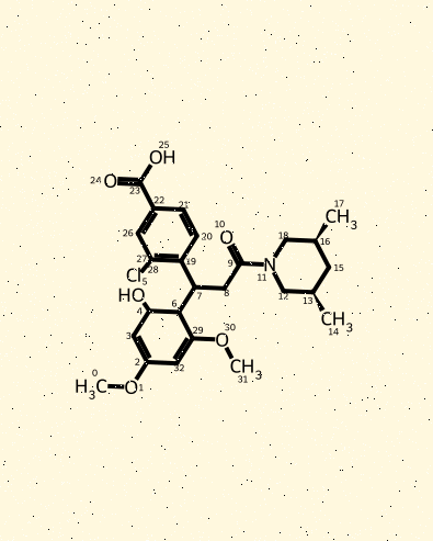 COC1=CC(O)C(C(CC(=O)N2C[C@H](C)C[C@H](C)C2)c2ccc(C(=O)O)cc2Cl)C(OC)=C1